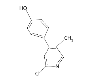 Cc1cnc(Cl)cc1-c1ccc(O)cc1